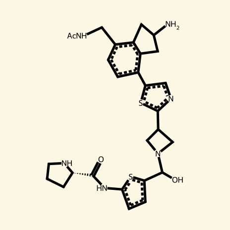 CC(=O)NCc1ccc(-c2cnc(C3CN(C(O)c4ccc(NC(=O)[C@@H]5CCCN5)s4)C3)s2)c2c1CC(N)C2